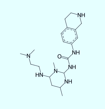 CC1CC(NCCN(C)C)N(C)C(NC(=O)Nc2ccc3c(c2)CNCC3)N1